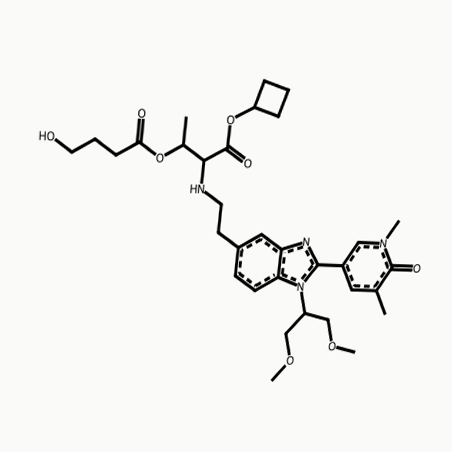 COCC(COC)n1c(-c2cc(C)c(=O)n(C)c2)nc2cc(CCNC(C(=O)OC3CCC3)C(C)OC(=O)CCCO)ccc21